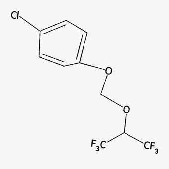 FC(F)(F)C(OCOc1ccc(Cl)cc1)C(F)(F)F